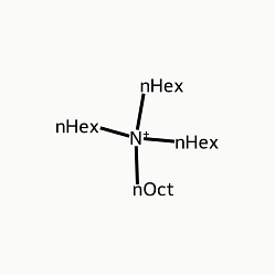 CCCCCCCC[N+](CCCCCC)(CCCCCC)CCCCCC